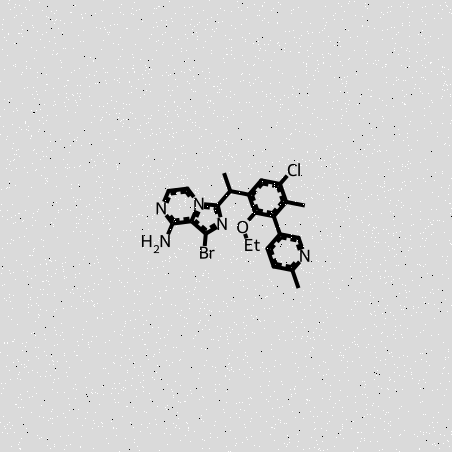 CCOc1c(C(C)c2nc(Br)c3c(N)nccn23)cc(Cl)c(C)c1-c1ccc(C)nc1